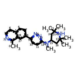 Cc1nccc2ccc(-c3ccc(N(C)C4CC(C)(C)NC(C)(C)C4)nn3)cc12